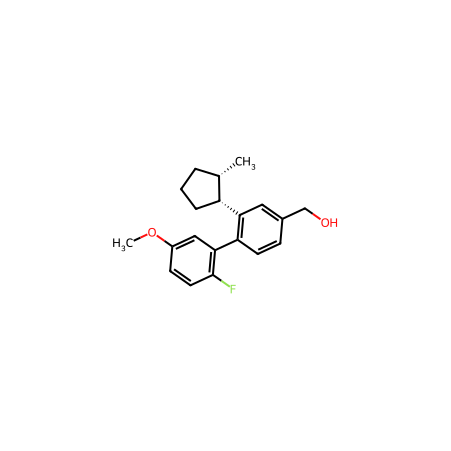 COc1ccc(F)c(-c2ccc(CO)cc2[C@@H]2CCC[C@@H]2C)c1